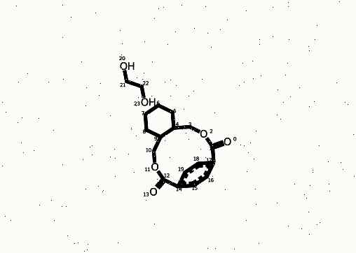 O=C1OCC2CCCCC2COC(=O)c2ccc1cc2.OCCO